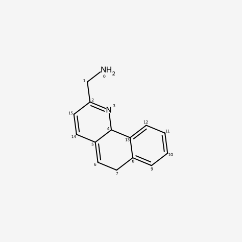 NCC1=NC2C(=CCc3ccccc32)C=C1